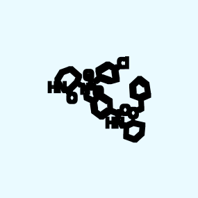 O=C(N[C@@H]1CCCC[C@H]1OCc1ccccc1)c1ccc(CN([C@@H]2CCCCNC2=O)S(=O)(=O)c2ccc(Cl)cc2)cc1